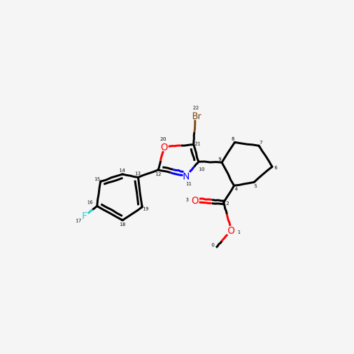 COC(=O)C1CCCCC1c1nc(-c2ccc(F)cc2)oc1Br